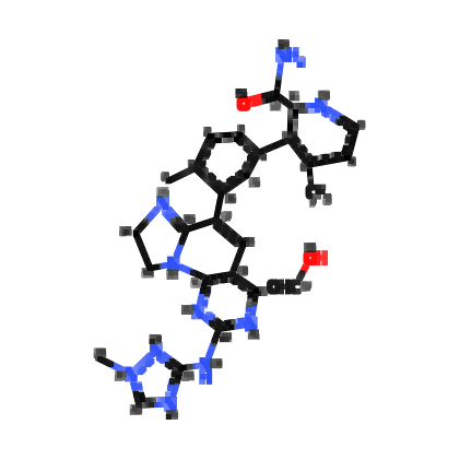 Cc1ccc(-c2c(C(F)(F)F)ccnc2C(N)=O)cc1C1=Cc2cnc(Nc3ncn(C)n3)nc2N2CCN=C12.O=CO